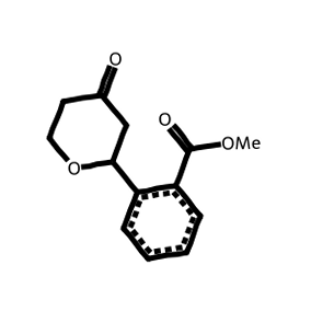 COC(=O)c1ccccc1C1CC(=O)CCO1